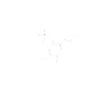 COc1cc(SC(C)(C)C)c(/C=N/O)cc1Br